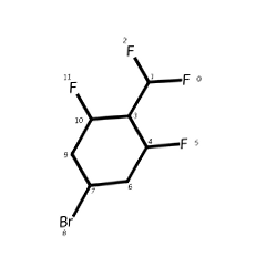 FC(F)C1C(F)CC(Br)CC1F